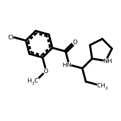 CCC(NC(=O)c1ccc(Cl)cc1OC)C1CCCN1